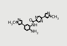 Cn1cc(-c2ccc(N)c(NC(=O)c3cnc(-c4cnn(C)c4)cn3)c2)cn1